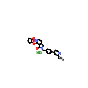 Cc1cc(-c2ccc(CN3Cc4ccnc(OC5CCCC5O)c4C3=O)cc2)ccn1.Cl